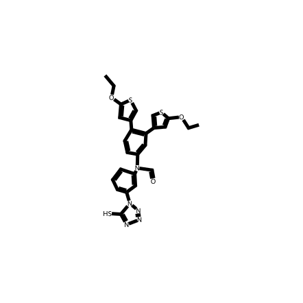 CCOc1cc(-c2ccc(N(C=O)c3cccc(-n4nnnc4S)c3)cc2-c2csc(OCC)c2)cs1